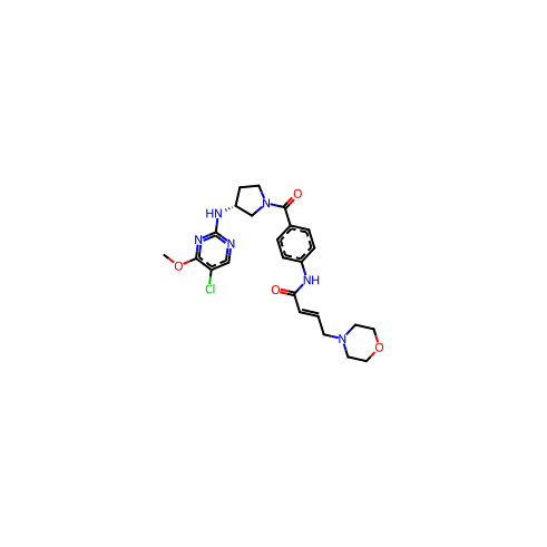 COc1nc(N[C@@H]2CCN(C(=O)c3ccc(NC(=O)/C=C/CN4CCOCC4)cc3)C2)ncc1Cl